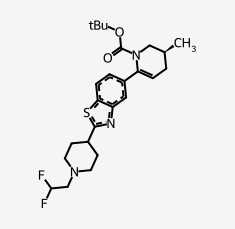 C[C@H]1CC=C(c2ccc3sc(C4CCN(CC(F)F)CC4)nc3c2)N(C(=O)OC(C)(C)C)C1